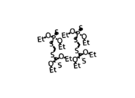 CCOP(=S)(OCC)SCSP(=S)(OCC)OCC.CCOP(=S)(OCC)SCSP(=S)(OCC)OCC